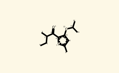 CCC(C)C(=O)c1sc(C)cc1OC(C)C